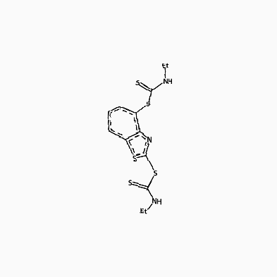 CCNC(=S)Sc1nc2c(SC(=S)NCC)cccc2s1